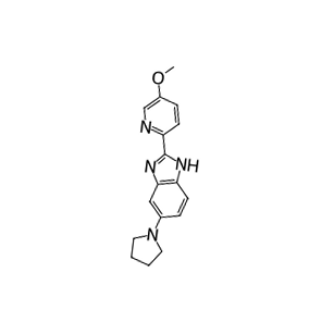 COc1ccc(-c2nc3cc(N4CCCC4)ccc3[nH]2)nc1